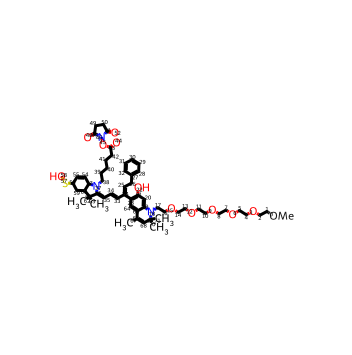 COCCOCCOCCOCCOCCOCCN1c2cc(O)c(C(=C\Cc3ccccc3)/C=C/C=C3\N(CCCCCC(=O)ON4C(=O)CCC4=O)C4C=CC(SO)CC4C3(C)C)cc2C(C)=CC1(C)C